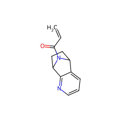 C=CC(=O)N1C2CCC1c1ncccc12